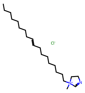 CCCCCCCCC=CCCCCCCCC[N+]1(C)C=NCC1.[Cl-]